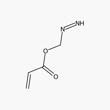 C=CC(=O)OCN=N